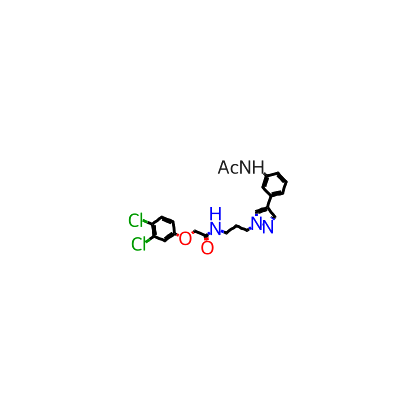 CC(=O)Nc1cccc(-c2cnn(CCCNC(=O)COc3ccc(Cl)c(Cl)c3)c2)c1